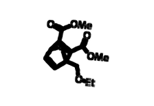 CCOCC12C=CC(O1)C(C(=O)OC)=C2C(=O)OC